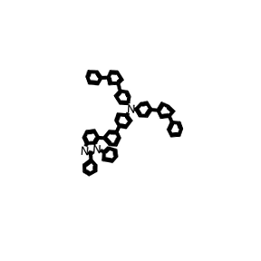 c1ccc(-c2cccc(-c3ccc(N(c4ccc(-c5cccc(-c6ccccc6)c5)cc4)c4ccc(-c5cccc(-c6cccc7nc(-c8ccccc8)n(-c8ccccc8)c67)c5)cc4)cc3)c2)cc1